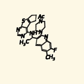 CC(=O)N1CCN(c2nc3cc(F)c(C)cc3cc2C(C)Nc2ncnc3sc4c(c23)CCC4)CC1